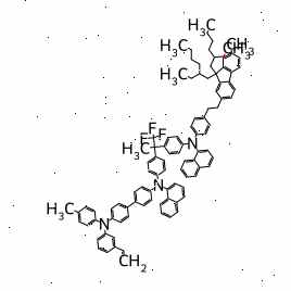 C=Cc1cccc(N(c2ccc(C)cc2)c2ccc(-c3ccc(N(c4ccc(C(C)(c5ccc(N(c6ccc(CCc7ccc8c(c7)C(CC(CC)CCCC)(CC(CC)CCCC)c7cc(C)ccc7-8)cc6)c6cccc7ccccc67)cc5)C(F)(F)F)cc4)c4cccc5ccccc45)cc3)cc2)c1